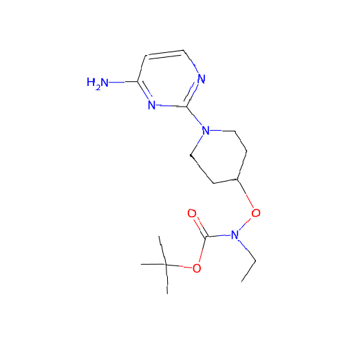 CCN(OC1CCN(c2nccc(N)n2)CC1)C(=O)OC(C)(C)C